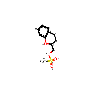 O=S(=O)(OCC1CCc2ccccc2O1)C(F)(F)F